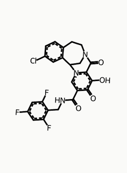 O=C(NCc1c(F)cc(F)cc1F)c1cn2c(c(O)c1=O)C(=O)N1CCc3ccc(Cl)cc3C2C1